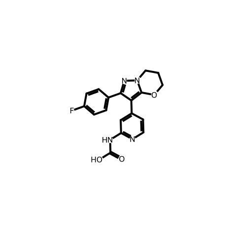 O=C(O)Nc1cc(-c2c(-c3ccc(F)cc3)nn3c2OCCC3)ccn1